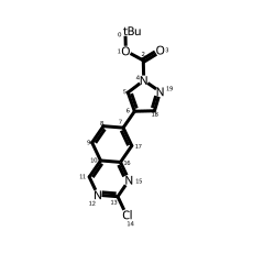 CC(C)(C)OC(=O)n1cc(-c2ccc3cnc(Cl)nc3c2)cn1